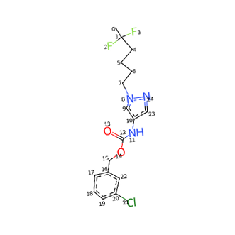 CC(F)(F)CCCCn1cc(NC(=O)OCc2cccc(Cl)c2)cn1